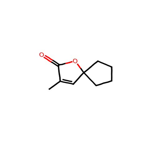 CC1=CC2(CCCC2)OC1=O